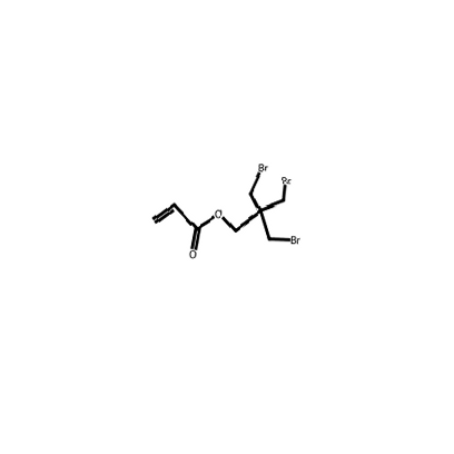 C=CC(=O)OCC(CBr)(CBr)CBr